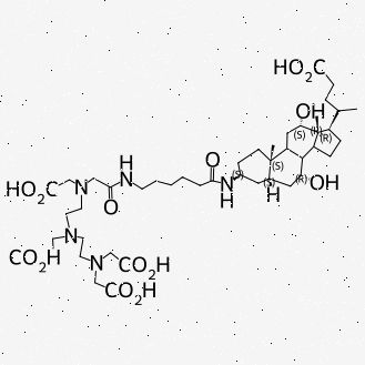 CC(CCC(=O)O)[C@H]1CCC2C3C(C[C@H](O)[C@@]21C)[C@@]1(C)CC[C@H](NC(=O)CCCCCNC(=O)CN(CCN(CCN(CC(=O)O)CC(=O)O)CC(=O)O)CC(=O)O)C[C@H]1C[C@H]3O